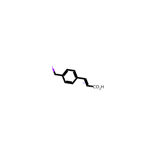 O=C(O)/C=C/c1ccc(CI)cc1